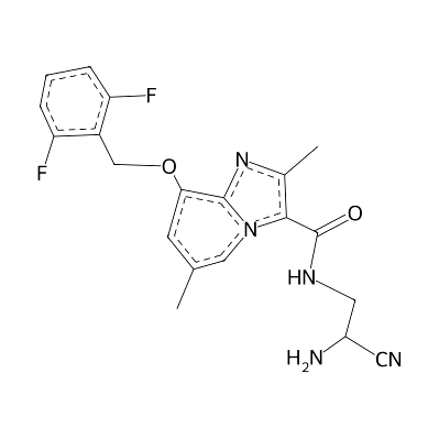 Cc1cc(OCc2c(F)cccc2F)c2nc(C)c(C(=O)NCC(N)C#N)n2c1